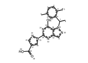 Cc1ccc(F)c(C(C)n2ncc3nc(-n4cc(C(=O)O)cn4)nc(O)c32)c1